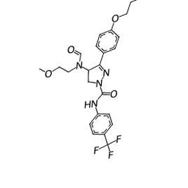 CCCOc1ccc(C2=NN(C(=O)Nc3ccc(C(F)(F)F)cc3)CC2N(C=O)CCOC)cc1